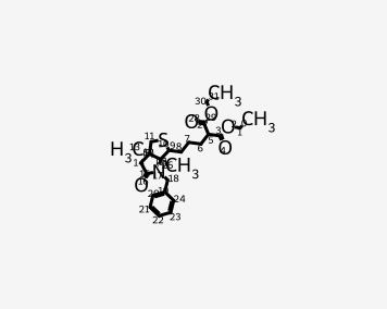 CCOC(=O)C(CCCC1SC[C@]2(C)CC(=O)N(Cc3ccccc3)[C@]12C)C(=O)OCC